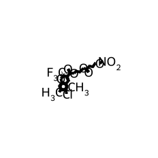 Cc1cc2c(c(C)c1Cl)C=C(C(=O)OCCOC(=O)CCCO[N+](=O)[O-])[C@@H](C(F)(F)F)O2